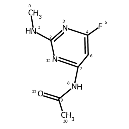 CNc1nc(F)cc(NC(C)=O)n1